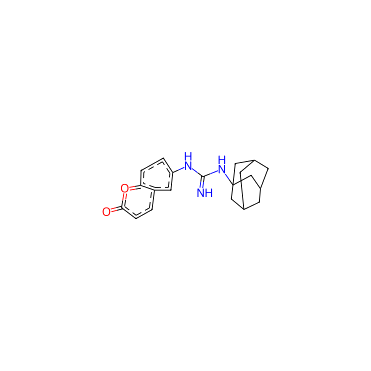 N=C(Nc1ccc2oc(=O)ccc2c1)NC12CC3CC(CC(C3)C1)C2